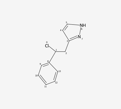 ClC(Cc1cc[nH]n1)c1ccccc1